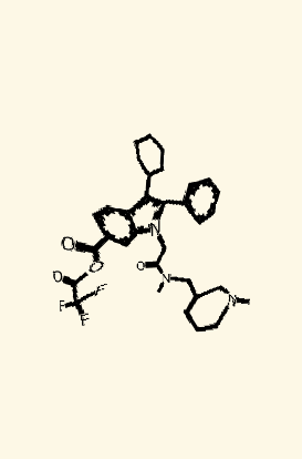 CN1CCCC(CN(C)C(=O)Cn2c(-c3ccccc3)c(C3CCCCC3)c3ccc(C(=O)OC(=O)C(F)(F)F)cc32)C1